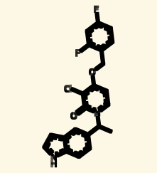 CC(c1ccc2[nH]ccc2c1)n1ccc(OCc2ccc(F)cc2F)c(Cl)c1=O